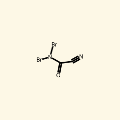 N#CC(=O)N(Br)Br